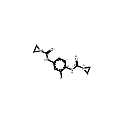 Cc1cc(NC(=O)N2CC2)ccc1NC(=O)N1CC1